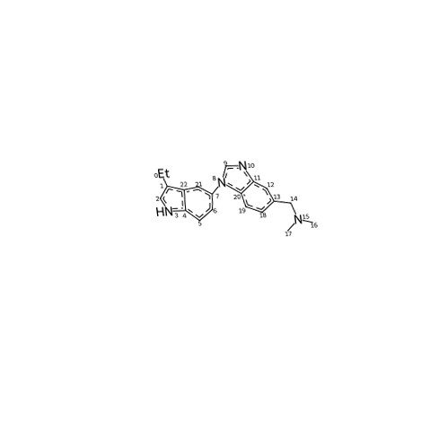 CCc1c[nH]c2ccc(-n3cnc4cc(CN(C)C)ccc43)cc12